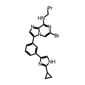 CC(C)CNc1nc(Br)cn2c(-c3cccc(-c4c[nH]c(C5CC5)n4)c3)cnc12